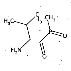 CC(C)CN.C[P](=O)C=O